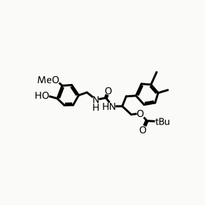 COc1cc(CNC(=O)NC(COC(=O)C(C)(C)C)Cc2ccc(C)c(C)c2)ccc1O